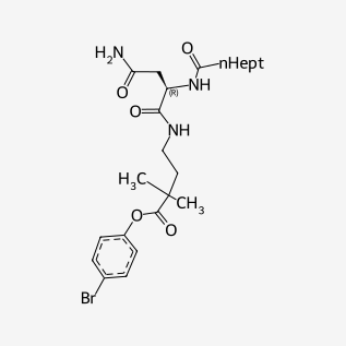 CCCCCCCC(=O)N[C@H](CC(N)=O)C(=O)NCCC(C)(C)C(=O)Oc1ccc(Br)cc1